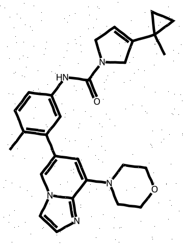 Cc1ccc(NC(=O)N2CC=C(C3(C)CC3)C2)cc1-c1cc(N2CCOCC2)c2nccn2c1